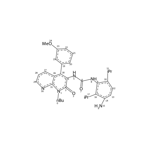 CCCCn1c(=O)c(NC(=O)Nc2c(C(C)C)ccc(N)c2C(C)C)c(-c2cccc(OC)c2)c2cccnc21